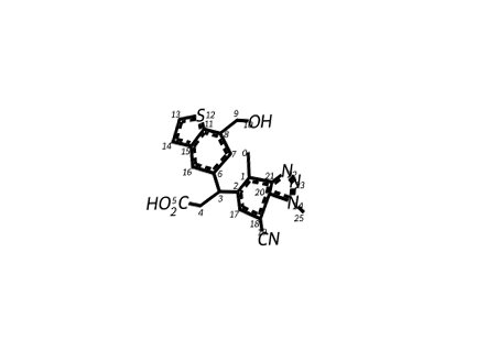 Cc1c(C(CC(=O)O)c2cc(CO)c3sccc3c2)cc(C#N)c2c1nnn2C